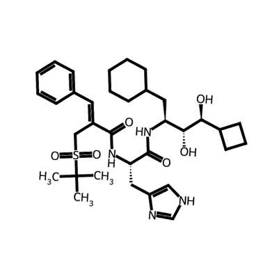 CC(C)(C)S(=O)(=O)CC(=Cc1ccccc1)C(=O)N[C@@H](Cc1c[nH]cn1)C(=O)N[C@@H](CC1CCCCC1)[C@@H](O)[C@@H](O)C1CCC1